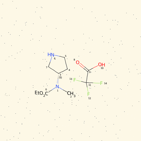 CCOC(=O)N(C)[C@H]1CCNC1.O=C(O)C(F)(F)F